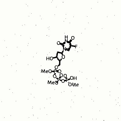 COP(=O)(O)OP(=O)(OC)OP(=O)(OC)OCC1OC(n2cc(F)c(=O)[nH]c2=O)CC1O